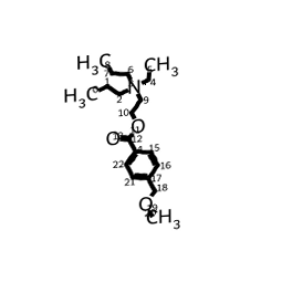 CCC[N+](CC)(CCC)CCOC(=O)c1ccc(COC)cc1